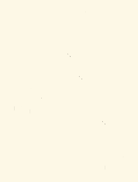 COC1CCN(c2ccc(N3CCN(CC4CCOCC4)CC3)c(C3=CCC(C)(C)CC3)c2)CC1.Cl